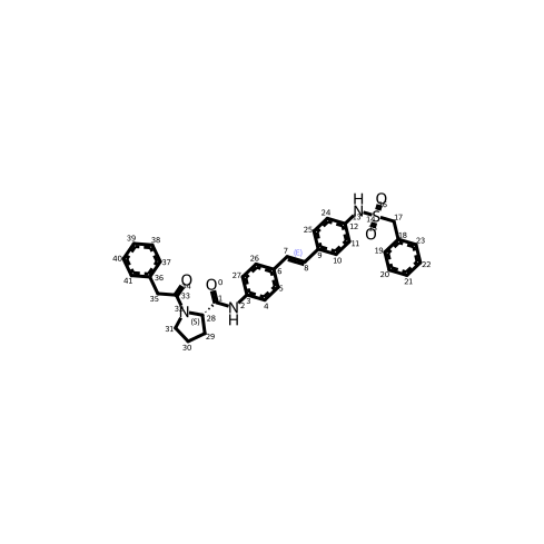 O=C(Nc1ccc(/C=C/c2ccc(NS(=O)(=O)Cc3ccccc3)cc2)cc1)[C@@H]1CCCN1C(=O)Cc1ccccc1